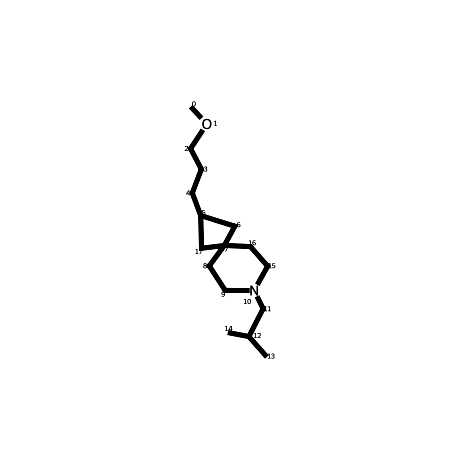 COCCCC1CC2(CCN(CC(C)C)CC2)C1